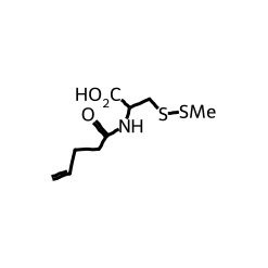 C=CCCC(=O)NC(CSSC)C(=O)O